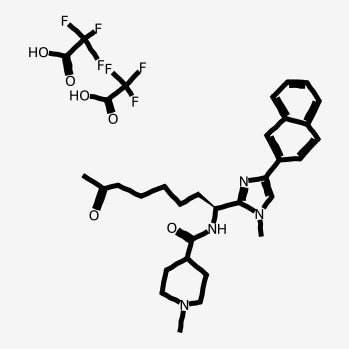 CC(=O)CCCCC[C@H](NC(=O)C1CCN(C)CC1)c1nc(-c2ccc3ccccc3c2)cn1C.O=C(O)C(F)(F)F.O=C(O)C(F)(F)F